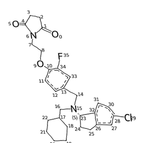 O=C1CCC(=O)N1CCOc1ccc(CN(CC2CCCCC2)[C@H]2CCc3cc(Cl)ccc32)cc1F